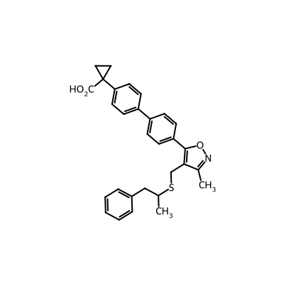 Cc1noc(-c2ccc(-c3ccc(C4(C(=O)O)CC4)cc3)cc2)c1CSC(C)Cc1ccccc1